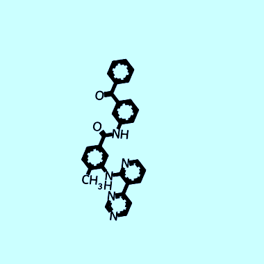 Cc1ccc(C(=O)Nc2cccc(C(=O)c3ccccc3)c2)cc1Nc1ncccc1-c1ccncn1